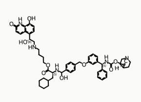 O=C(N[C@@H](c1ccccc1)c1cccc(OCc2ccc(C(O)N[C@@H](CC3CCCCC3)C(=O)OCCCCNC[C@H](O)c3ccc(O)c4[nH]c(=O)ccc34)cc2)c1)O[C@H]1CN2CCC1CC2